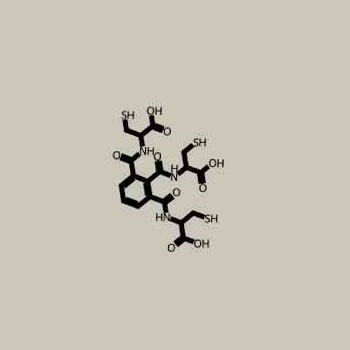 O=C(NC(CS)C(=O)O)c1cccc(C(=O)NC(CS)C(=O)O)c1C(=O)NC(CS)C(=O)O